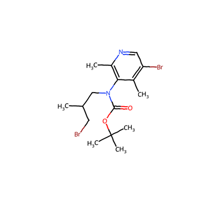 Cc1ncc(Br)c(C)c1N(CC(C)CBr)C(=O)OC(C)(C)C